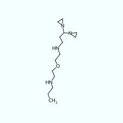 CCCNCCOCCNCCC(N1CC1)N1CC1